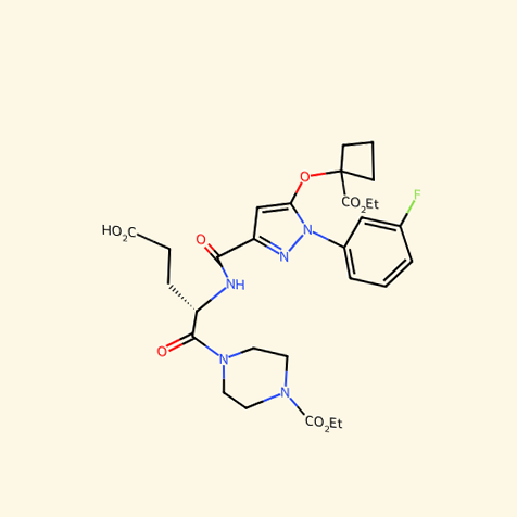 CCOC(=O)N1CCN(C(=O)[C@H](CCC(=O)O)NC(=O)c2cc(OC3(C(=O)OCC)CCC3)n(-c3cccc(F)c3)n2)CC1